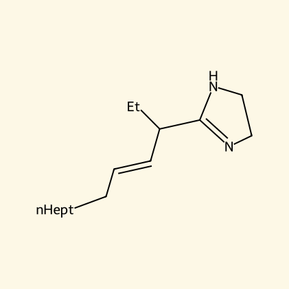 CCCCCCCCC=CC(CC)C1=NCCN1